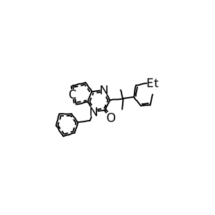 C/C=C\C(=C/CC)C(C)(C)c1nc2ccccc2n(Cc2ccccc2)c1=O